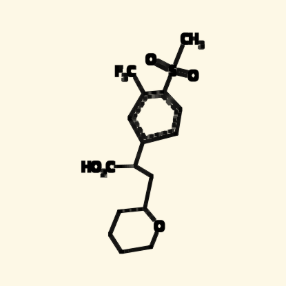 CS(=O)(=O)c1ccc(C(CC2CCCCO2)C(=O)O)cc1C(F)(F)F